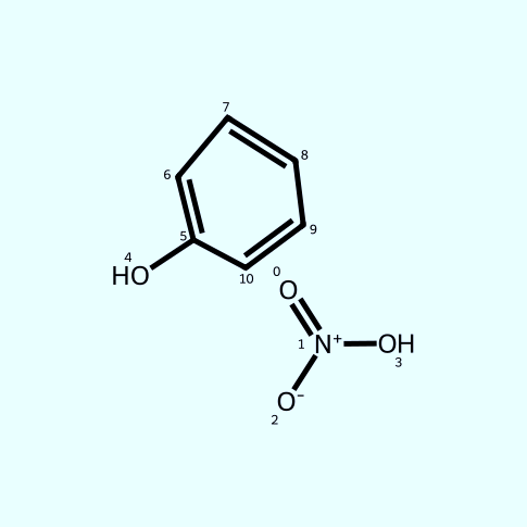 O=[N+]([O-])O.Oc1ccccc1